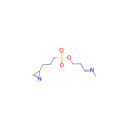 C/N=C/CCOS(=O)(=O)CCCC1C=N1